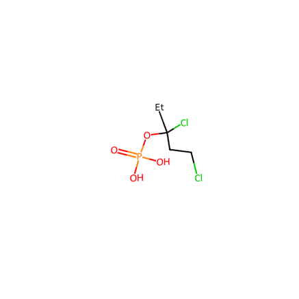 CCC(Cl)(CCCl)OP(=O)(O)O